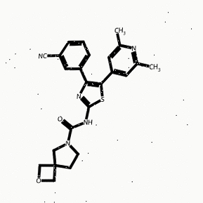 Cc1cc(-c2sc(NC(=O)N3CCC4(COC4)C3)nc2-c2cccc(C#N)c2)cc(C)n1